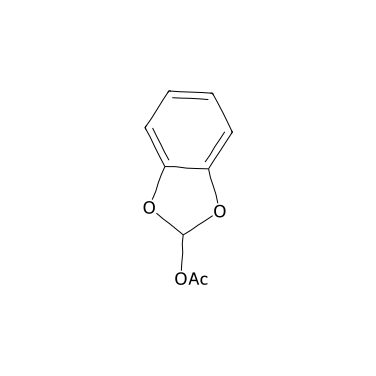 CC(=O)OC1Oc2ccccc2O1